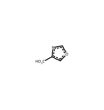 O=C(O)c1cocn1